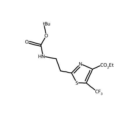 CCOC(=O)c1nc(CCNC(=O)OC(C)(C)C)sc1C(F)(F)F